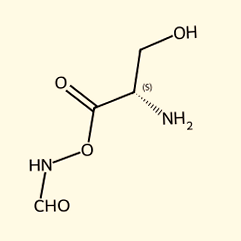 N[C@@H](CO)C(=O)ONC=O